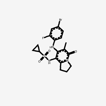 Cc1c(Nc2ccc(Br)cc2F)c(NS(=O)(=O)C2CC2)c2n(c1=O)CCC2